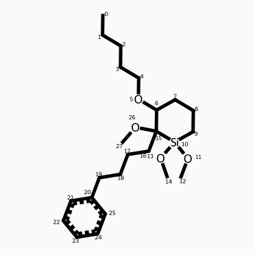 CCCCCOC1CCC[Si](OC)(OC)C1(CCCCc1ccccc1)OC